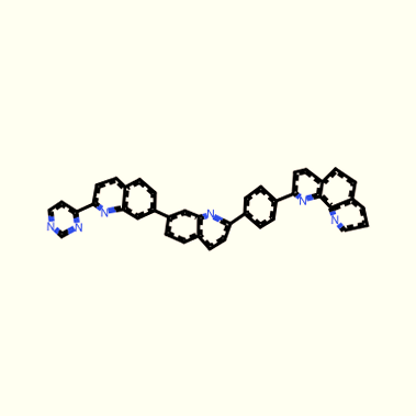 c1cnc2c(c1)ccc1ccc(-c3ccc(-c4ccc5ccc(-c6ccc7ccc(-c8ccncn8)nc7c6)cc5n4)cc3)nc12